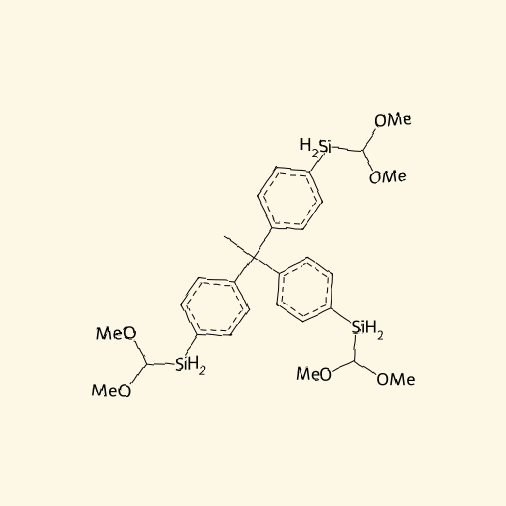 COC(OC)[SiH2]c1ccc(C(C)(c2ccc([SiH2]C(OC)OC)cc2)c2ccc([SiH2]C(OC)OC)cc2)cc1